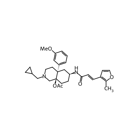 COc1cccc([C@@]23CCN(CC4CC4)C[C@@]2(OC(C)=O)CC[C@H](NC(=O)C=Cc2ccoc2C)C3)c1